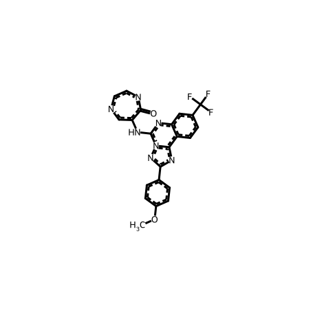 COc1ccc(-c2nc3c4ccc(C(F)(F)F)cc4nc(Nc4cnccnc4=O)n3n2)cc1